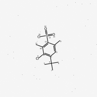 Cc1cc(C(C)(C)C)c(Cl)c(C)c1S(=O)(=O)Cl